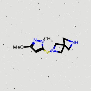 COc1cc(SN2CC3(CNC3)C2)n(C)n1